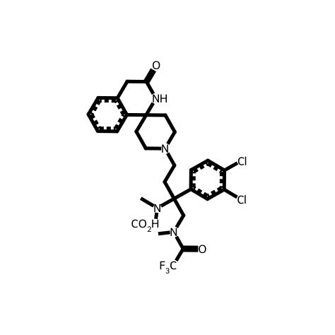 CN(CC(CCN1CCC2(CC1)NC(=O)Cc1ccccc12)(c1ccc(Cl)c(Cl)c1)N(C)C(=O)O)C(=O)C(F)(F)F